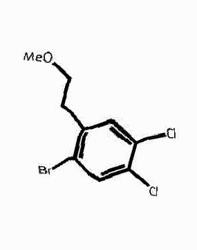 COCCc1cc(Cl)c(Cl)cc1Br